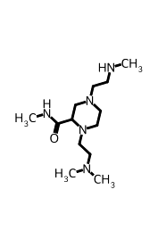 CNCCN1CCN(CCN(C)C)C(C(=O)NC)C1